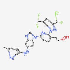 Cc1ccc(Nc2ccc3c(c2)ncn3-c2ccc(CCO)c(-n3nc(C(F)F)cc3C(F)F)n2)nn1